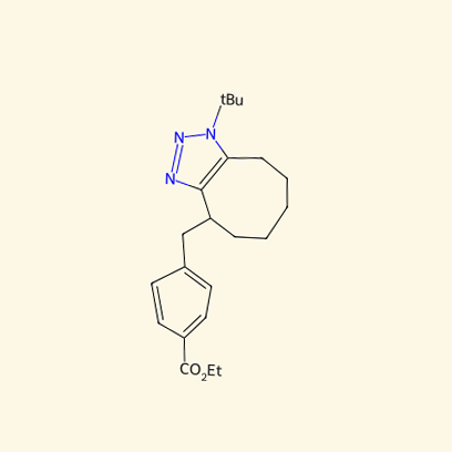 CCOC(=O)c1ccc(CC2CCCCCc3c2nnn3C(C)(C)C)cc1